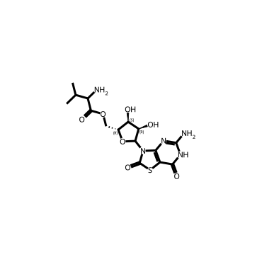 CC(C)C(N)C(=O)OC[C@H]1OC(n2c(=O)sc3c(=O)[nH]c(N)nc32)[C@H](O)[C@@H]1O